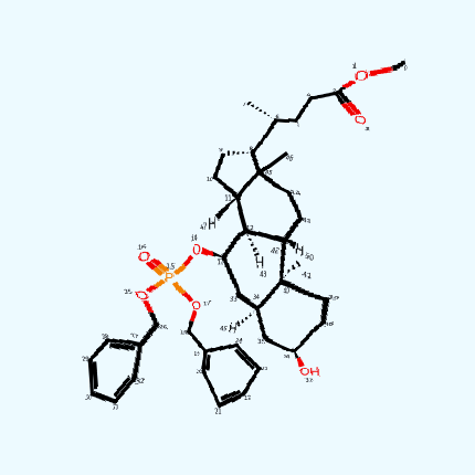 COC(=O)CC[C@@H](C)[C@H]1CC[C@H]2[C@@H]3[C@H](OP(=O)(OCc4ccccc4)OCc4ccccc4)C[C@@H]4C[C@H](O)CC[C@]4(C)[C@H]3CCC12C